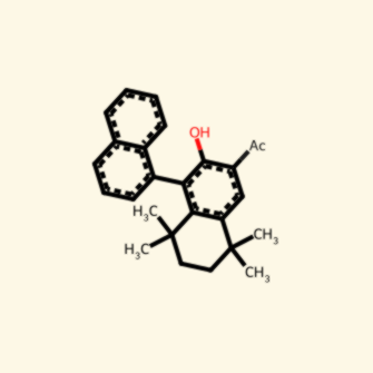 CC(=O)c1cc2c(c(-c3cccc4ccccc34)c1O)C(C)(C)CCC2(C)C